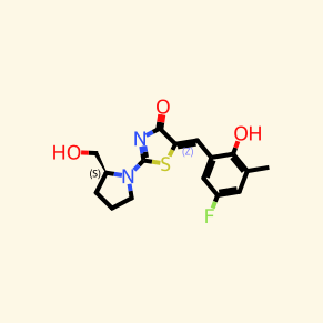 Cc1cc(F)cc(/C=C2\SC(N3CCC[C@H]3CO)=NC2=O)c1O